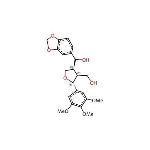 COc1cc([C@@H]2OC[C@@H](C(O)c3ccc4c(c3)OCO4)[C@H]2CO)cc(OC)c1OC